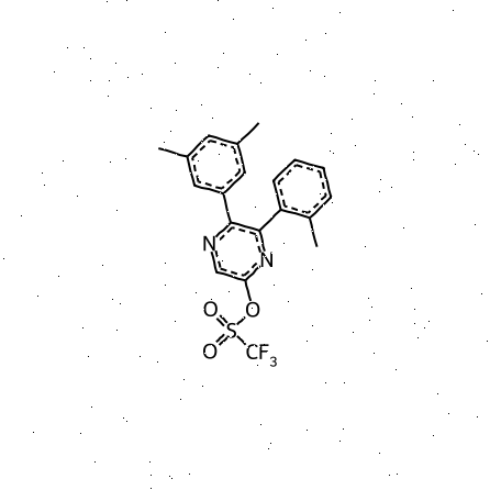 Cc1cc(C)cc(-c2ncc(OS(=O)(=O)C(F)(F)F)nc2-c2ccccc2C)c1